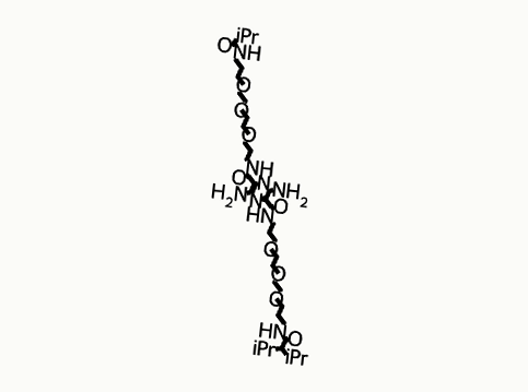 CC(C)C(=O)NCCCOCCOCCOCCCNC(=O)c1nc(N)c(C(=O)NCCCOCCOCCOCCCNC(=O)C(C(C)C)C(C)C)nc1N